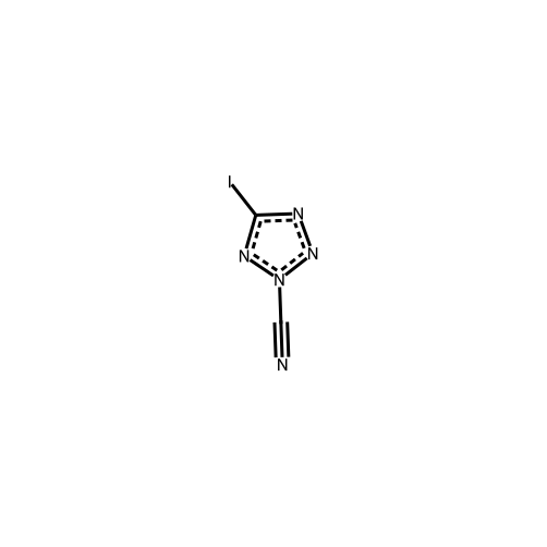 N#Cn1nnc(I)n1